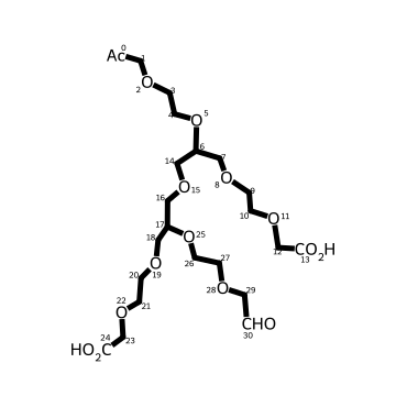 CC(=O)COCCOC(COCCOCC(=O)O)COCC(COCCOCC(=O)O)OCCOCC=O